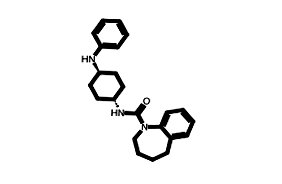 O=C(N[C@H]1CC[C@H](Nc2ccccc2)CC1)N1CCCCc2ccccc21